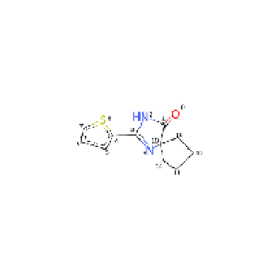 O=C1NC(c2cccs2)=NC12CCCC2